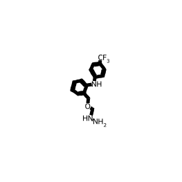 NNCOCc1ccccc1Nc1ccc(C(F)(F)F)cc1